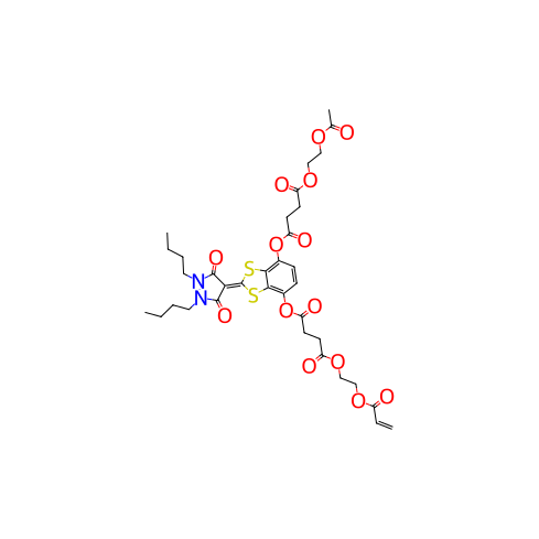 C=CC(=O)OCCOC(=O)CCC(=O)Oc1ccc(OC(=O)CCC(=O)OCCOC(C)=O)c2c1SC(=C1C(=O)N(CCCC)N(CCCC)C1=O)S2